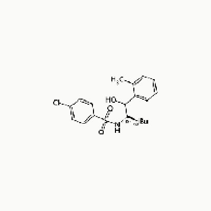 CC[C@H](C)[C@H](NS(=O)(=O)c1ccc(Cl)cc1)C(O)c1ccccc1C